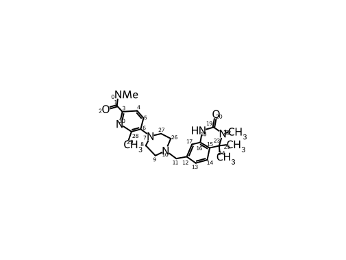 CNC(=O)c1ccc(N2CCN(Cc3ccc4c(c3)NC(=O)N(C)C4(C)C)CC2)c(C)n1